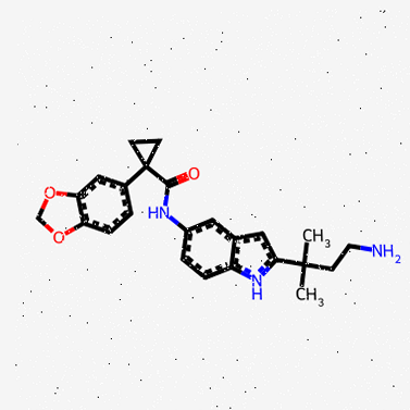 CC(C)(CCN)c1cc2cc(NC(=O)C3(c4ccc5c(c4)OCO5)CC3)ccc2[nH]1